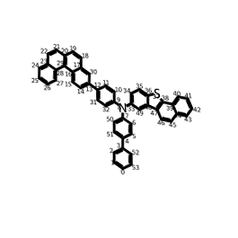 c1ccc(-c2ccc(N(c3ccc(-c4ccc5c(ccc6ccc7ccccc7c65)c4)cc3)c3ccc4sc5c6ccccc6ccc5c4c3)cc2)cc1